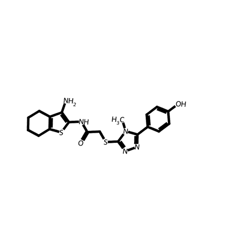 Cn1c(SCC(=O)Nc2sc3c(c2N)CCCC3)nnc1-c1ccc(O)cc1